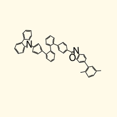 Cc1ccc(C)c(-c2ccc3nc(-c4ccc(-c5ccccc5-c5ccccc5-c5ccc(-n6c7ccccc7c7ccccc76)cc5)cc4)oc3c2)c1